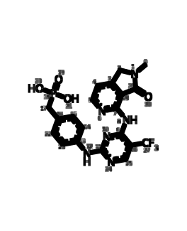 CN1Cc2ccnc(Nc3nc(Nc4ccc(CP(=O)(O)O)cc4)ncc3C(F)(F)F)c2C1=O